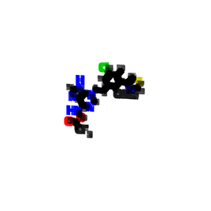 COc1c(CCN2CN=C(NOC(=O)C(F)(F)F)c3nc[nH]c32)cc(Cl)c(C)c1-c1cscn1